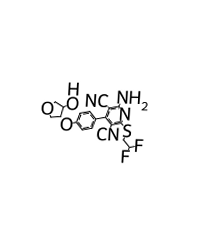 N#Cc1c(N)nc(SCC(F)F)c(C#N)c1-c1ccc(OC2COCC2O)cc1